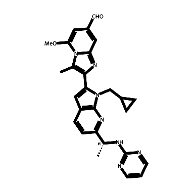 COc1cc(C=O)cc2nc(-c3cc4ccc([C@@H](C)Nc5ncccn5)nc4n3CC3CC3)c(C)n12